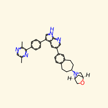 Cc1cnc(C)c(-c2ccc(-c3c[nH]c4ncc(-c5ccc6c(c5)CC[C@@H](N5C[C@@H]7C[C@H]5CO7)CC6)cc34)cc2)n1